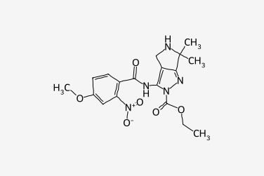 CCOC(=O)n1nc2c(c1NC(=O)c1ccc(OC)cc1[N+](=O)[O-])CNC2(C)C